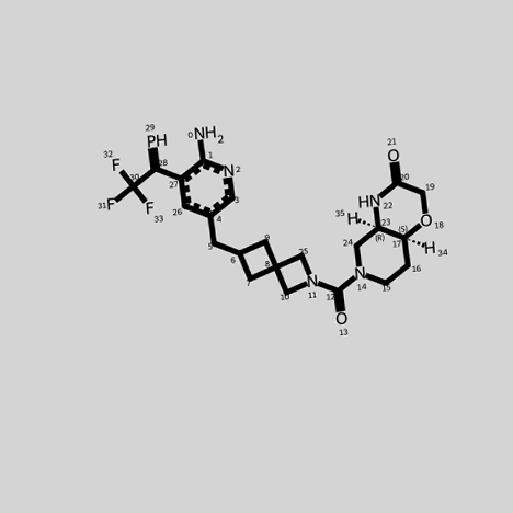 Nc1ncc(CC2CC3(C2)CN(C(=O)N2CC[C@@H]4OCC(=O)N[C@@H]4C2)C3)cc1C(=P)C(F)(F)F